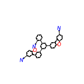 N#Cc1ccc2oc3ccc(-c4cc(-c5ccccc5C#N)cc(-c5cccc6c5oc5ccc(C#N)cc56)c4)cc3c2c1